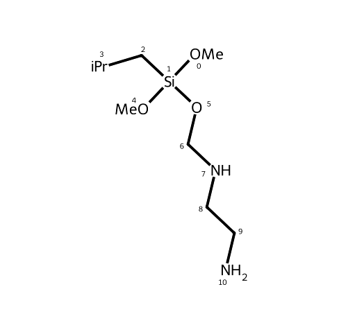 CO[Si](CC(C)C)(OC)OCNCCN